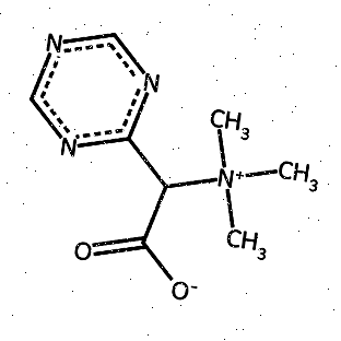 C[N+](C)(C)C(C(=O)[O-])c1ncncn1